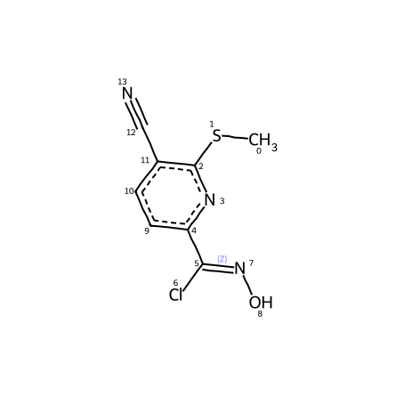 CSc1nc(/C(Cl)=N/O)ccc1C#N